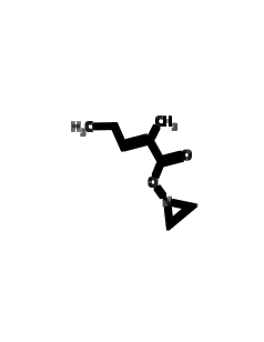 CCC=C(C)C(=O)ON1CC1